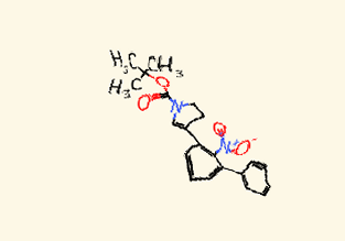 CC(C)(C)OC(=O)N1C=C(c2cccc(-c3ccccc3)c2[N+](=O)[O-])CC1